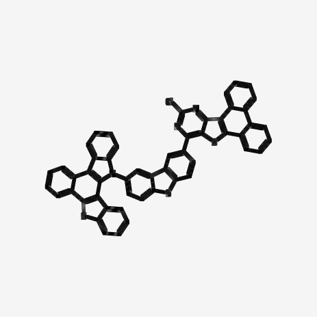 Clc1nc(-c2ccc3sc4ccc(-n5c6ccccc6c6c7ccccc7c7sc8ccccc8c7c65)cc4c3c2)c2sc3c4ccccc4c4ccccc4c3c2n1